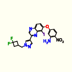 Nc1cc(Oc2ccc3ncc(-c4cnn(CC5CC(F)(F)C5)c4)nc3c2I)ccc1[N+](=O)[O-]